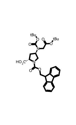 CC(C)(C)OC(=O)CN(C(=O)OC(C)(C)C)[C@@H]1C[C@@H](C(=O)O)N(C(=O)OCC2c3ccccc3-c3ccccc32)C1